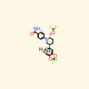 C=C(/C=C1/OC(F)(F)O/C1=C/C)[C@@H]1CC[C@@H](COC(F)F)N(c2ccc(C(N)=O)cc2)C1